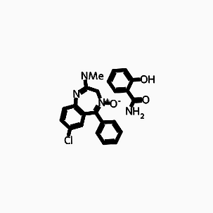 CNC1=Nc2ccc(Cl)cc2C(c2ccccc2)=[N+]([O-])C1.NC(=O)c1ccccc1O